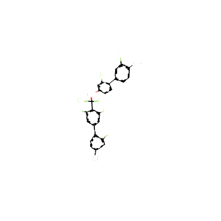 Cc1ccc(-c2cc(F)c(C(F)(F)Oc3ccc(-c4ccc(C(F)(F)F)c(F)c4)c(F)c3)c(F)c2)c(F)c1